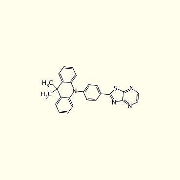 CC1(C)c2ccccc2N(c2ccc(-c3nc4nccnc4s3)cc2)c2ccccc21